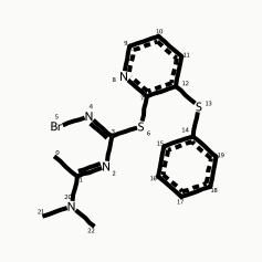 CC(=NC(=NBr)Sc1ncccc1Sc1ccccc1)N(C)C